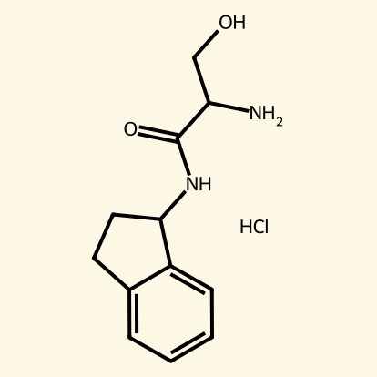 Cl.NC(CO)C(=O)NC1CCc2ccccc21